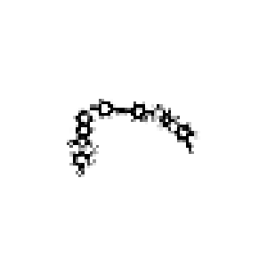 CC1(C)[C@H](NC(=O)c2ccc(C#CC3CCC(CN4CCc5cc6c(cc5C4)C(=O)N(C4CCC(=O)NC4=O)C6=O)CC3)cc2)C(C)(C)[C@H]1Oc1ccc(C#N)c(Cl)c1